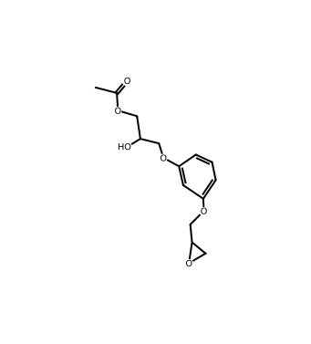 CC(=O)OCC(O)COc1cccc(OCC2CO2)c1